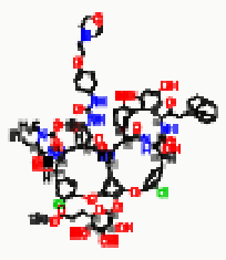 CC(C)C[C@H](C(=O)N[C@H]1C(=O)C[C@@H](CC(=O)NC(=O)Nc2ccc(OCCN3CCOCC3)cc2)C(=O)N[C@H]2C(=O)C[C@H]3C(=O)N[C@H](C(=O)N[C@H](C(=O)CC4C5CC6CC(C5)CC4C6)c4cc(O)cc(O)c4-c4cc3ccc4O)[C@H](O)c3ccc(c(Cl)c3)Oc3cc2cc(c3O[C@@H]2O[C@H](CCC(=O)OC(C)(C)C)[C@@H](O)[C@H](O)[C@H]2O)Oc2ccc(cc2Cl)[C@H]1O)N(C)C(=O)OC(C)(C)C